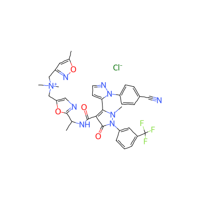 Cc1cc(C[N+](C)(C)Cc2cnc(C(C)NC(=O)c3c(-c4ccnn4-c4ccc(C#N)cc4)n(C)n(-c4cccc(C(F)(F)F)c4)c3=O)o2)no1.[Cl-]